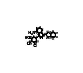 Nc1ncnc2c1c(-c1cc(O)c(Cl)c(Cl)c1)nn2C1Cc2ccccc2C1